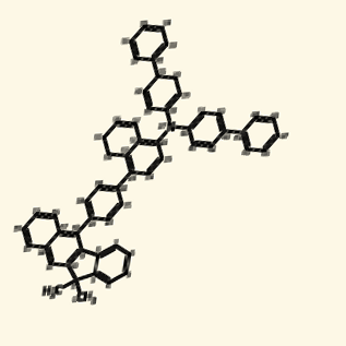 CC1(C)c2ccccc2-c2c1cc1ccccc1c2-c1ccc(-c2ccc(N(C3=CCC(c4ccccc4)C=C3)c3ccc(-c4ccccc4)cc3)c3c2CCC=C3)cc1